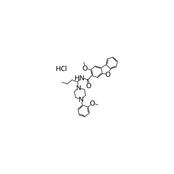 CCCC(NC(=O)c1cc2oc3ccccc3c2cc1OC)N1CCN(c2ccccc2OC)CC1.Cl